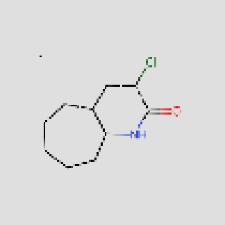 O=C1NC2CCCCCC2CC1Cl